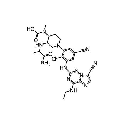 CCNc1nc(Nc2cc(C#N)cc(N3CC[C@H](N(C)C(=O)O)[C@H](NC(C)C(N)=O)C3)c2Cl)nn2c(C#N)cnc12